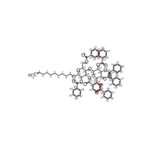 C=CCCCCCCCCOC1OC(COC(=O)c2ccccc2)C(OC2OC(COC(=O)c3ccccc3)C(OC(=O)c3ccccc3)C(OC(=O)c3ccccc3)C2OC(=O)c2ccccc2)C(OC(=O)c2ccccc2)C1OC(=O)c1ccccc1